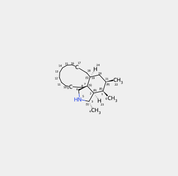 C[C@H]1[C@H]2[C@H](C)NC[C@]23CCCCCCCCCCC[C@H]3C[C@H]1C